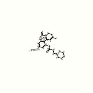 C=C(C)C1CCC(C)=CC1c1c(OC)cc(CCCCC)cc1OC(=O)CCN1CCOCC1